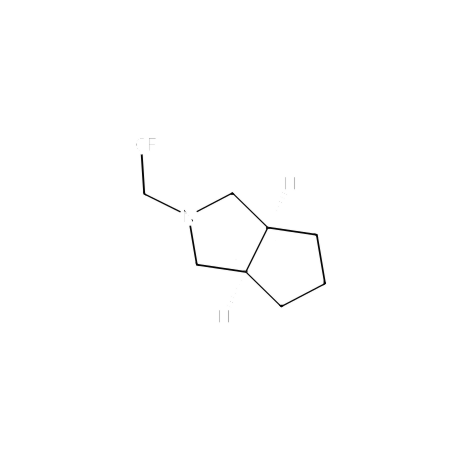 FC(F)(F)CN1C[C@H]2CCC[C@H]2C1